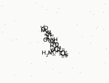 Cn1nc(-c2ncco2)cc1C(=O)N1C[C@@H]2[C@H](C1)[C@@H]2Oc1cc(C(C)(C)N)cc(-c2ccc(F)cc2)n1